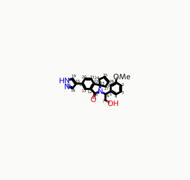 COc1cccc(C(CO)N2C(=O)c3cc(-c4cn[nH]c4)ccc3C23CC=CC3)c1